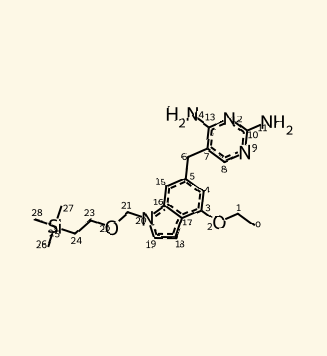 CCOc1cc(Cc2cnc(N)nc2N)cc2c1ccn2COCC[Si](C)(C)C